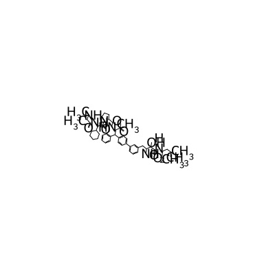 CNC(C)C(=O)NC(C(=O)N1CCCC1C(=O)NC(C(C)=O)C(c1ccccc1)c1ccc(-c2cccc(CC(N)C(O)C(=O)NC(CC(C)C)C(C)=O)c2)cc1)C1CCCCC1